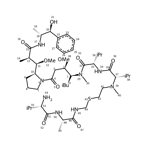 CC[C@H](C)[C@@H]([C@@H](CC(=O)N1CCC[C@H]1[C@H](OC)[C@@H](C)C(=O)N[C@H](C)[C@@H](O)c1ccccc1)OC)N(C)C(=O)[C@@H](NC(=O)[C@H](C(C)C)N(C)CCSCNC(=O)[C@H](C)NC(=O)[C@@H](N)C(C)C)C(C)C